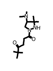 CN(C)C1CN(C(=O)CCC(=O)C(C)(C)C)NC1(C)C